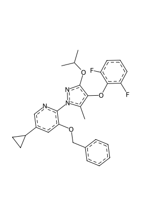 Cc1c(Oc2c(F)cccc2F)c(OC(C)C)nn1-c1ncc(C2CC2)cc1OCc1ccccc1